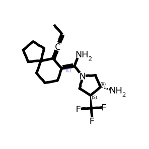 CC=C=C1/C(=C(\N)N2C[C@H](N)[C@@H](C(F)(F)F)C2)CCCC12CCCC2